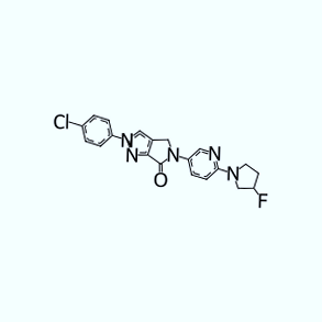 O=C1c2nn(-c3ccc(Cl)cc3)cc2CN1c1ccc(N2CCC(F)C2)nc1